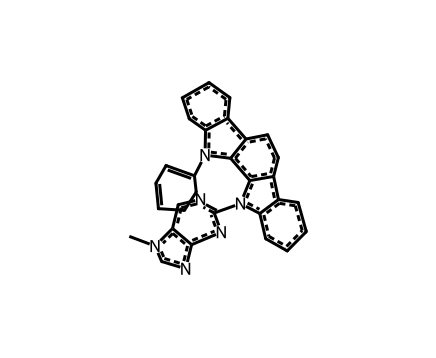 Cn1cnc2nc(-n3c4ccccc4c4ccc5c6ccccc6n(C6=CC=CCC6)c5c43)ncc21